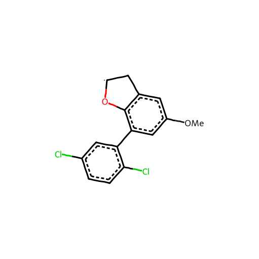 COc1cc2c(c(-c3cc(Cl)ccc3Cl)c1)O[CH]C2